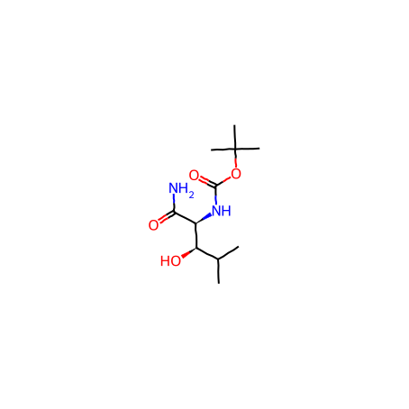 CC(C)[C@@H](O)[C@H](NC(=O)OC(C)(C)C)C(N)=O